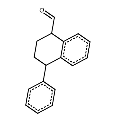 O=CC1CCC(c2ccccc2)c2ccccc21